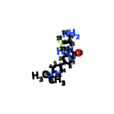 CN(C)c1ccc(-c2cc[n+]3c(=O)n(CC(CN)=C(F)F)[nH]c3c2)cn1